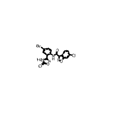 O=C(Nc1ccc(Br)cc1-c1noc(=O)[nH]1)c1noc2cc(Cl)ccc12